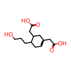 O=C(O)CC1=CCC(CCCO)C(CC(=O)O)C1